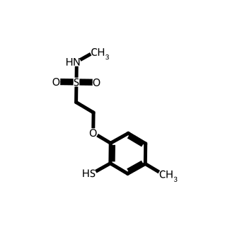 CNS(=O)(=O)CCOc1ccc(C)cc1S